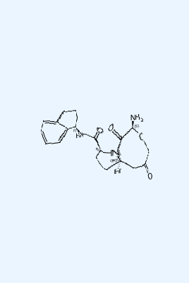 N[C@H]1CCC(=O)C[C@H]2CC[C@@H](C(=O)N[C@@H]3CCCc4ccccc43)N2C1=O